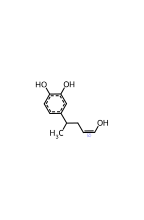 CC(C/C=C\O)c1ccc(O)c(O)c1